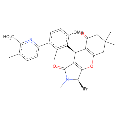 COc1ccc(-c2ccc(C)c(C(=O)O)n2)c(C)c1[C@H]1C2=C(CC(C)(C)CC2=O)OC2=C1C(=O)N(C)[C@@H]2C(C)C